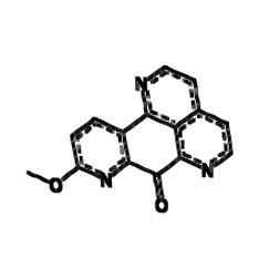 COc1ccc2c(n1)C(=O)c1nccc3ccnc-2c13